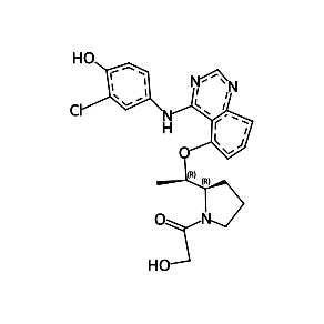 C[C@@H](Oc1cccc2ncnc(Nc3ccc(O)c(Cl)c3)c12)[C@H]1CCCN1C(=O)CO